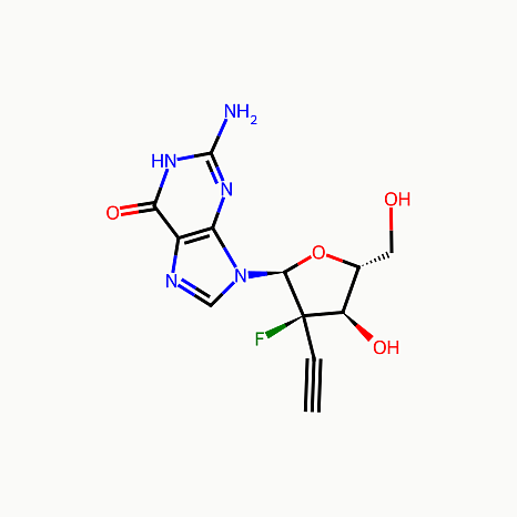 C#C[C@@]1(F)[C@H](O)[C@@H](CO)O[C@@H]1n1cnc2c(=O)[nH]c(N)nc21